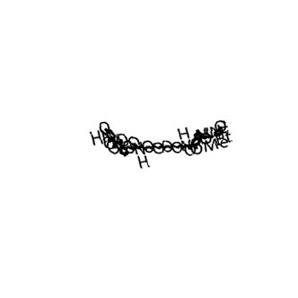 CC[C@@H]1[C@H](F)C(=O)N[C@@H]1CCOc1nccc2cc(C(=O)NCCOCCOCCOCCOCCNC(=O)COc3cccc4c3C(=O)N(C3CCC(=O)NC3=O)C4=O)c(OC)cc12